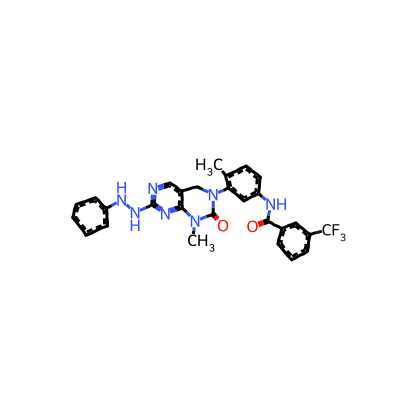 Cc1ccc(NC(=O)c2cccc(C(F)(F)F)c2)cc1N1Cc2cnc(NNc3ccccc3)nc2N(C)C1=O